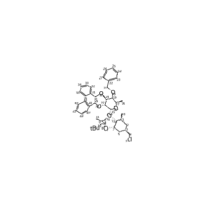 C[C@H]1C[C@@H](CCl)C[C@H](O[Si](C)(C)C(C)(C)C)[C@@H]1O[C@H]1O[C@H](C)[C@H](OCc2ccccc2)[C@H](OCc2ccccc2)[C@H]1OCc1ccccc1